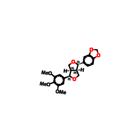 COc1cc([C@@H]2OC[C@H]3[C@@H]2CO[C@@H]3c2ccc3c(c2)OCO3)cc(OC)c1OC